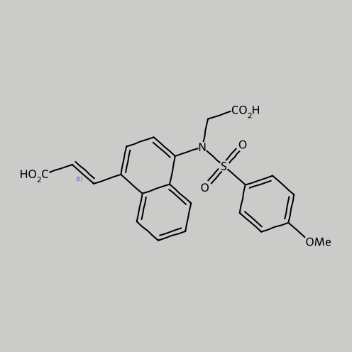 COc1ccc(S(=O)(=O)N(CC(=O)O)c2ccc(/C=C/C(=O)O)c3ccccc23)cc1